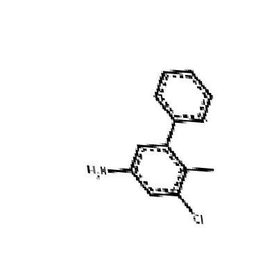 Cc1c(Cl)cc(N)cc1-c1[c]cccc1